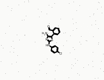 Nc1nc(Nc2ccc(Cl)cc2)sc1-c1ccccc1C=O